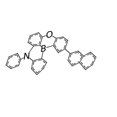 c1ccc(N2c3ccccc3B3c4cc(-c5ccc6ccccc6c5)ccc4Oc4cccc2c43)cc1